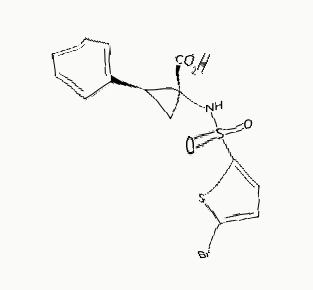 O=C(O)[C@@]1(NS(=O)(=O)c2ccc(Br)s2)C[C@H]1c1ccccc1